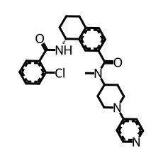 CN(C(=O)c1ccc2c(c1)[C@H](NC(=O)c1ccccc1Cl)CCC2)C1CCN(c2ccncc2)CC1